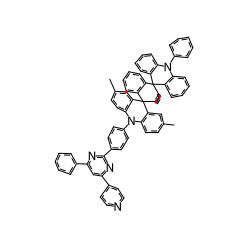 Cc1ccc2c(c1)C1(c3cc(C)ccc3N2c2ccc(-c3nc(-c4ccccc4)cc(-c4ccncc4)n3)cc2)c2ccccc2C2(c3ccccc3N(c3ccccc3)c3ccccc32)c2ccccc21